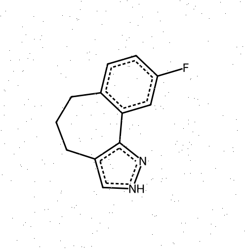 Fc1ccc2c(c1)-c1n[nH]cc1CCC2